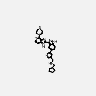 CN1CCN(c2nccc3[nH]c(-c4n[nH]c5ccc(-c6cncc(CNCC7CCCC7)c6)cc45)nc23)CC1